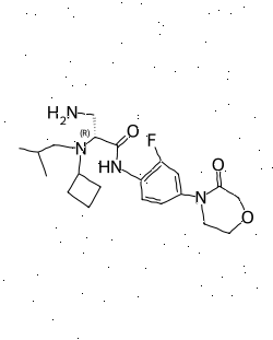 CC(C)CN(C1CCC1)[C@H](CN)C(=O)Nc1ccc(N2CCOCC2=O)cc1F